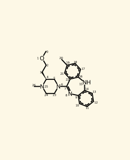 COCC[C@H]1CN(C2=Nc3ccccc3Nc3ccc(C)cc32)CCN1C